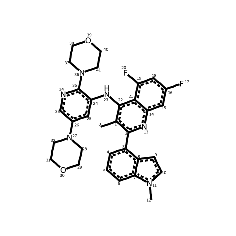 Cc1c(-c2cccc3c2ccn3C)nc2cc(F)cc(F)c2c1Nc1cc(N2CCOCC2)cnc1N1CCOCC1